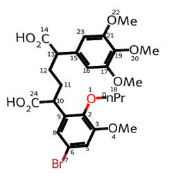 CCCOc1c(OC)cc(Br)cc1C(CCC(C(=O)O)c1cc(OC)c(OC)c(OC)c1)C(=O)O